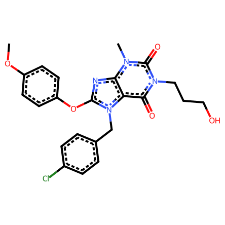 COc1ccc(Oc2nc3c(c(=O)n(CCCO)c(=O)n3C)n2Cc2ccc(Cl)cc2)cc1